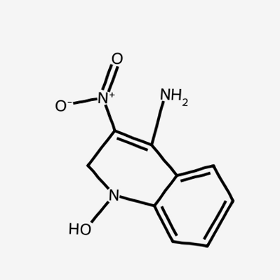 NC1=C([N+](=O)[O-])CN(O)c2ccccc21